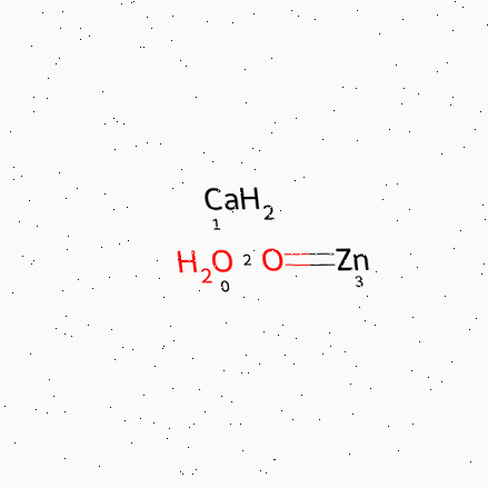 O.[CaH2].[O]=[Zn]